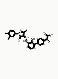 CC1=NN(c2ccc(C)c(C)c2)C(=O)C1=NNc1cccc(-c2ccc([C@H](C)C(=O)O)cc2)c1O